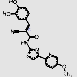 COc1ccc(-c2csc(NC(=O)/C(C#N)=C/c3ccc(O)c(O)c3)n2)nc1